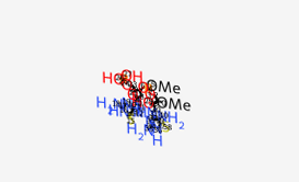 COC(COP(OC)OC1CC(n2cnc3c(=S)[nH]c(N)nc32)OC1COP(O)O)C(O)CNc1nc(N)[nH]c(=S)c1N